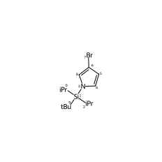 CC(C)[Si](C(C)C)(n1ccc(Br)c1)C(C)(C)C